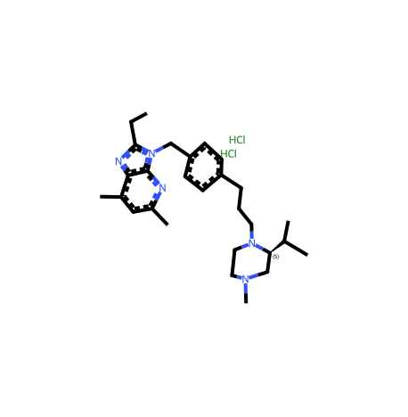 CCc1nc2c(C)cc(C)nc2n1Cc1ccc(CCCN2CCN(C)C[C@@H]2C(C)C)cc1.Cl.Cl